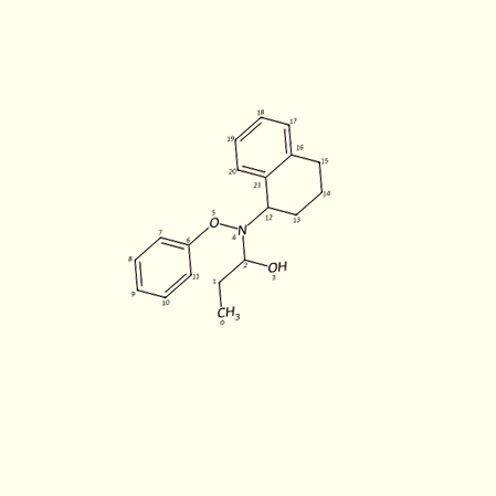 CCC(O)N(Oc1ccccc1)C1CCCc2ccccc21